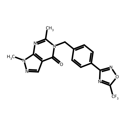 Cc1nc2c(cnn2C)c(=O)n1Cc1ccc(-c2noc(C(F)(F)F)n2)cc1